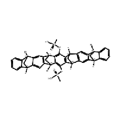 CP(=O)(O)Oc1c2c(c(OP(C)(=O)O)c3c1[C@H]1C[C@@H]3c3cc4c(cc31)[C@H]1C[C@@H]4c3ccccc31)[C@H]1C[C@@H]2c2cc3c(cc21)[C@H]1C[C@@H]3c2ccccc21